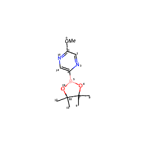 COc1cnc(B2OC(C)(C)C(C)(C)O2)cn1